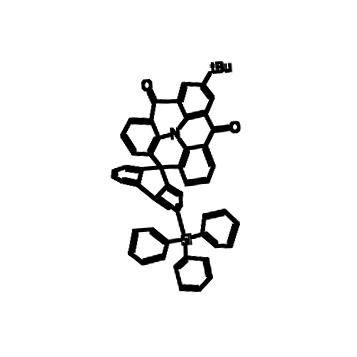 CC(C)(C)c1cc2c(=O)c3cccc4c3n3c5c(cccc5c(=O)c(c1)c23)C41c2ccccc2-c2cc([Si](c3ccccc3)(c3ccccc3)c3ccccc3)ccc21